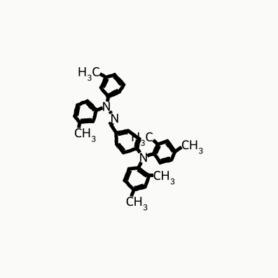 Cc1cccc(N(/N=C/c2ccc(N(c3ccc(C)cc3C)c3ccc(C)cc3C)cc2)c2cccc(C)c2)c1